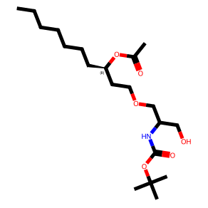 CCCCCCC[C@H](CCOCC(CO)NC(=O)OC(C)(C)C)OC(C)=O